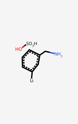 O=S(=O)(O)O.[Li][c]1cccc(CN)c1